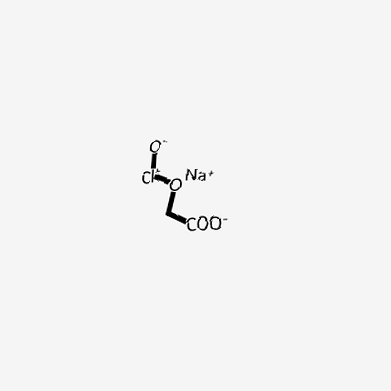 O=C([O-])CO[Cl+][O-].[Na+]